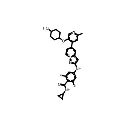 Cc1cc(-c2ccn3nc(Nc4cc(F)c(C(=O)NC5CC5)c(F)c4)cc3c2)c(OC2CCC(O)CC2)cn1